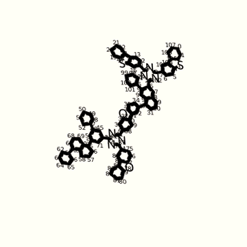 C1=CC2Sc3ccc(-c4nc(-c5ccc6c(c5)sc5ccccc56)nc(-c5cc6cccc(-c7ccc8oc9cc(-c%10nc(-c%11cc(-c%12ccccc%12)cc(-c%12cccc%13c(-c%14ccccc%14)cccc%12%13)c%11)nc(-c%11ccc%12oc%13ccccc%13c%12c%11)n%10)ccc9c8c7)c6cc5-c5ccccc5)n4)cc3C2C=C1